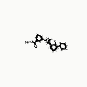 COC(=O)c1cccc(-c2ncc(-c3cccc(-c4ccccc4)c3C)s2)c1